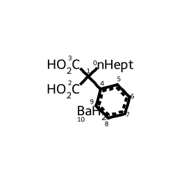 CCCCCCCC(C(=O)O)(C(=O)O)c1ccccc1.[BaH2]